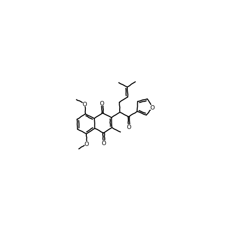 COc1ccc(OC)c2c1C(=O)C(C)=C(C(CC=C(C)C)C(=O)c1ccoc1)C2=O